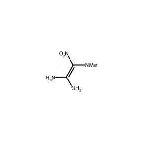 CNC(=C(N)N)[N+](=O)[O-]